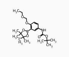 CCOCOc1ccc(NC(=O)OC(C)(C)C)cc1B1OC(C)(C)C(C)(C)O1